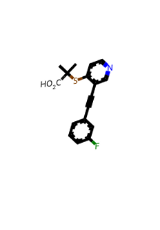 CC(C)(Sc1ccncc1C#Cc1cccc(F)c1)C(=O)O